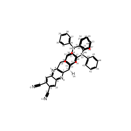 N#Cc1cc2nc3c(nc2cc1C#N)[C@H]1c2ccc(N(c4ccccc4)c4ccccc4)cc2C3c2ccc(N(c3ccccc3)c3ccccc3)cc21